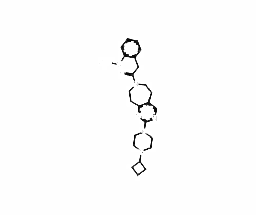 COc1ccccc1CC(=O)N1CCc2cnc(N3CCN(C4CCC4)CC3)nc2CC1